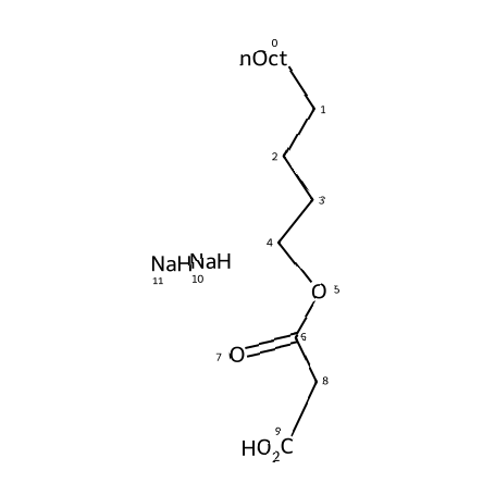 CCCCCCCCCCCCOC(=O)CC(=O)O.[NaH].[NaH]